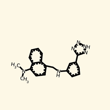 CN(C)c1ccc(CNc2cccc(-c3nn[nH]n3)c2)c2ccccc12